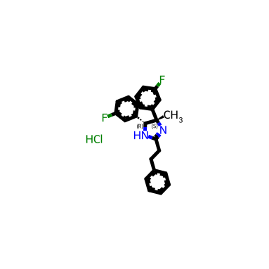 C[C@@]1(c2cccc(F)c2)N=C(CCc2ccccc2)N[C@@H]1c1cccc(F)c1.Cl